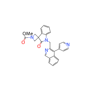 COC(=O)N1CC2(C1)C(=O)N(Cc1ncc3ccccc3c1-c1ccncc1)c1ccccc12